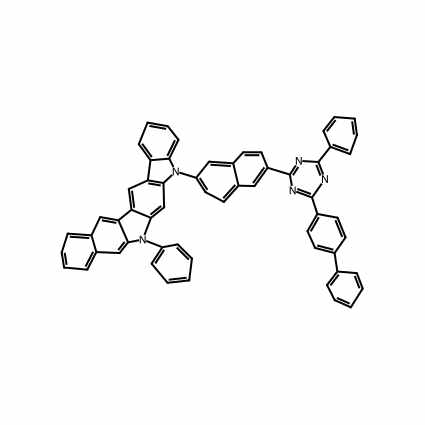 c1ccc(-c2ccc(-c3nc(-c4ccccc4)nc(-c4ccc5cc(-n6c7ccccc7c7cc8c9cc%10ccccc%10cc9n(-c9ccccc9)c8cc76)ccc5c4)n3)cc2)cc1